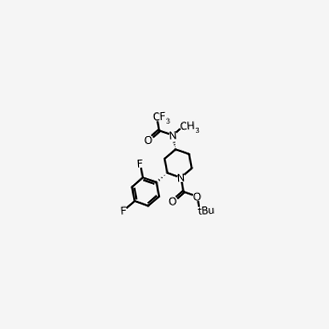 CN(C(=O)C(F)(F)F)[C@@H]1CCN(C(=O)OC(C)(C)C)[C@H](c2ccc(F)cc2F)C1